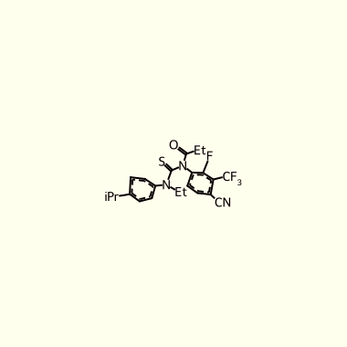 CCC(=O)N(C(=S)N(CC)c1ccc(C(C)C)cc1)c1ccc(C#N)c(C(F)(F)F)c1F